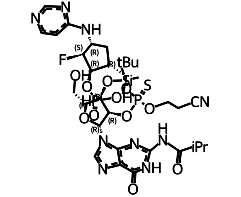 CC(C)C(=O)Nc1nc2c(ncn2[C@@H]2O[C@H](CO)[C@@H](O[Si](C)(C)C(C)(C)C)[C@H]2OP(=S)(OCCC#N)OC[C@H]2C[C@@H](Nc3ccncn3)[C@H](F)[C@@H]2O[PH](=O)O)c(=O)[nH]1